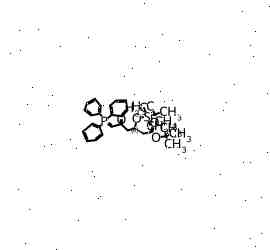 CC(C)(C)OC(=O)C[C@@H](CC(=O)C=P(c1ccccc1)(c1ccccc1)c1ccccc1)O[Si](C)(C)C(C)(C)C